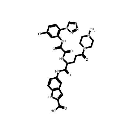 CN1CCN(C(=O)CCC(NC(=O)C(=O)Nc2cc(Cl)ccc2-n2cnnn2)C(=O)Nc2ccc3[nH]c(C(=O)O)cc3c2)CC1